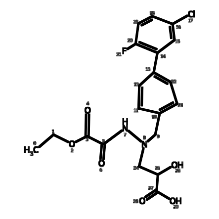 CCOC(=O)C(=O)NN(Cc1ccc(-c2cc(Cl)ccc2F)cc1)CC(O)C(=O)O